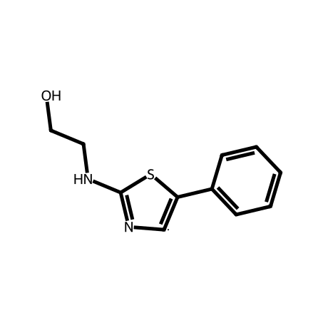 OCCNc1n[c]c(-c2ccccc2)s1